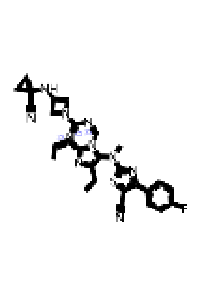 C/C=C\c1nc(CC)c(N(C)c2nc(-c3ccc(F)cc3)c(C#N)s2)n1/C=N\C(=N/C)N1CC(NC2(C#N)CC2)C1